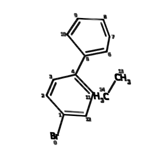 Brc1ccc(-c2ccccc2)cc1.CC